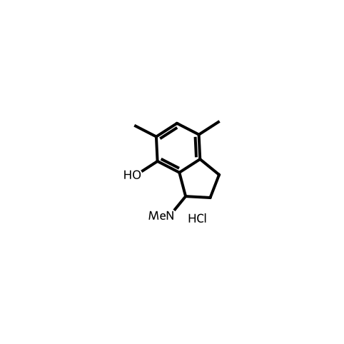 CNC1CCc2c(C)cc(C)c(O)c21.Cl